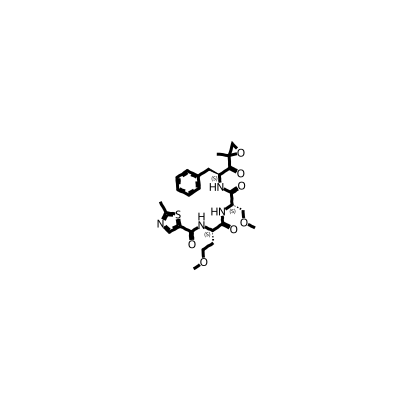 COCC[C@H](NC(=O)c1cnc(C)s1)C(=O)N[C@@H](COC)C(=O)N[C@@H](Cc1ccccc1)C(=O)C1(C)CO1